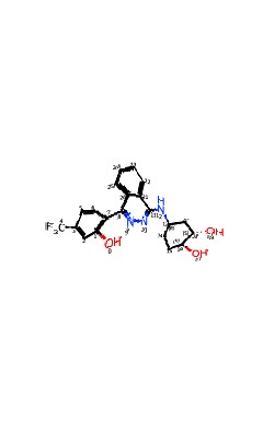 Oc1cc(C(F)(F)F)ccc1-c1nnc(N[C@@H]2CC[C@H](O)[C@@H](O)C2)c2ccccc12